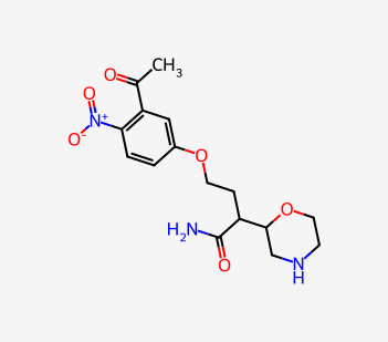 CC(=O)c1cc(OCCC(C(N)=O)C2CNCCO2)ccc1[N+](=O)[O-]